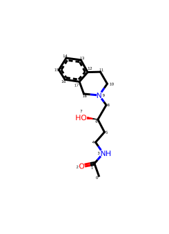 CC(=O)NCC[C@@H](O)CN1CCc2ccccc2C1